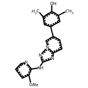 COc1cccnc1Nc1nc2ccc(-c3cc(C)c(O)c(C)c3)cn2n1